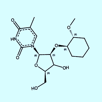 CO[C@@H]1CCCC[C@H]1O[C@H]1C(O)[C@@H](CO)O[C@H]1n1cc(C)c(=O)[nH]c1=O